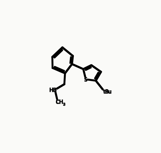 CBCc1ccccc1-c1ccc(C(C)(C)C)s1